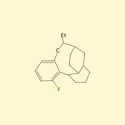 CCC1Cc2cccc(F)c2C2CCCC3CC1CCC32